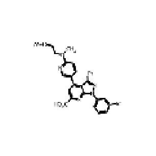 COCCN(C)c1ccc(-c2cc(C(=O)O)nc3c2c(C(C)C)nn3-c2cccc(Br)c2)cn1